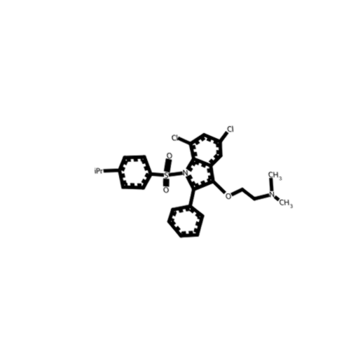 CC(C)c1ccc(S(=O)(=O)n2c(-c3ccccc3)c(OCCN(C)C)c3cc(Cl)cc(Cl)c32)cc1